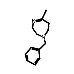 CC1=NCCN(Cc2ccccc2)CC1